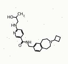 CC(O)CNc1ccc(C(=O)NCc2ccc3c(c2)CCN(C2CCC2)CC3)cn1